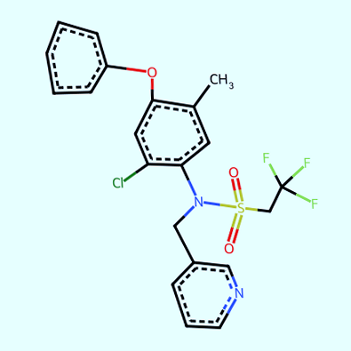 Cc1cc(N(Cc2cccnc2)S(=O)(=O)CC(F)(F)F)c(Cl)cc1Oc1ccccc1